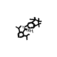 CC(C)c1cccc(C(C)C)c1-c1nc2cc3c(cc2[nH]1)C(C)(C)C(C)(C)C3(C)C